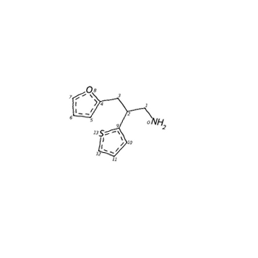 NCC(Cc1ccco1)c1cccs1